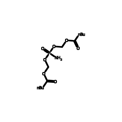 CCCCC(=O)OCOP(N)(=O)OCOC(=O)CCCC